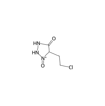 O=C1NN[N+](=O)C1CCCl